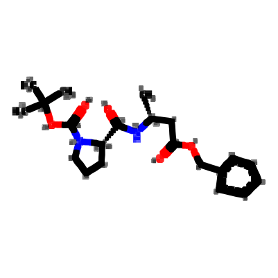 C[C@H](CC(=O)OCc1ccccc1)NC(=O)[C@@H]1CCCN1C(=O)OC(C)(C)C